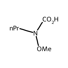 CCCN(OC)C(=O)O